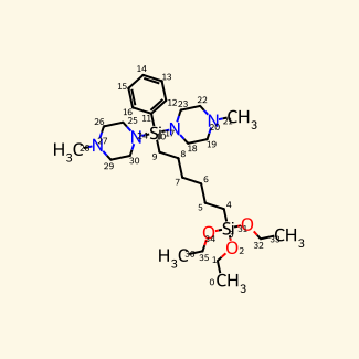 CCO[Si](CCCCCC[Si](c1ccccc1)(N1CCN(C)CC1)N1CCN(C)CC1)(OCC)OCC